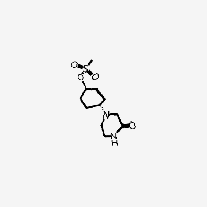 CS(=O)(=O)O[C@H]1CC[C@H](N2CCNC(=O)C2)CC1